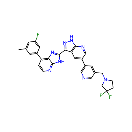 Cc1cc(F)cc(-c2ccnc3[nH]c(-c4n[nH]c5ncc(-c6cncc(CN7CCC(F)(F)C7)c6)cc45)nc23)c1